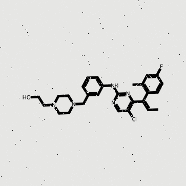 C/C=C(\c1ccc(F)cc1C)c1nc(Nc2cccc(CN3CCN(CCO)CC3)c2)ncc1Cl